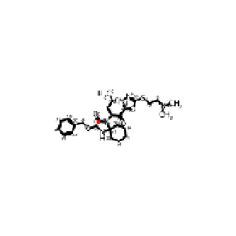 CC(C)CC(C(=O)c1nnc(SCCN(C)C)o1)N(C=O)C1(NC(=O)OCc2ccccc2)CCCCC1